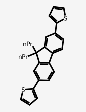 CCCC1(CCC)c2cc(-c3cccs3)ccc2-c2ccc(-c3cccs3)cc21